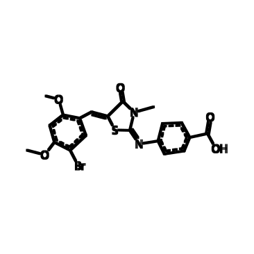 COc1cc(OC)c(/C=C2\S/C(=N/c3ccc(C(=O)O)cc3)N(C)C2=O)cc1Br